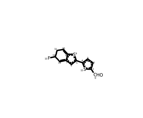 O=Cc1ccc(-c2cc3c(s2)=CCC(F)C=3)s1